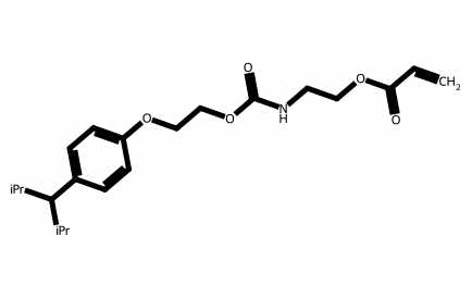 C=CC(=O)OCCNC(=O)OCCOc1ccc(C(C(C)C)C(C)C)cc1